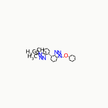 C[Si](C)(C)n1nnc2c(-c3cccc4c3nnn4COc3ccccc3)cccc21